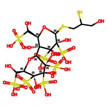 O=S(=O)(O)C(O)[C@H]1O[C@@H](SCC(S)CO)[C@@](O)(S(=O)(=O)O)[C@](O)(S(=O)(=O)O)[C@@]1(O)[C@@H]1O[C@H](C(O)S(=O)(=O)O)[C@](O)(S(=O)(=O)O)[C@@](O)(S(=O)(=O)O)[C@]1(O)S(=O)(=O)O